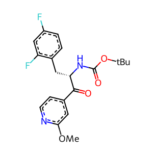 COc1cc(C(=O)[C@H](Cc2ccc(F)cc2F)NC(=O)OC(C)(C)C)ccn1